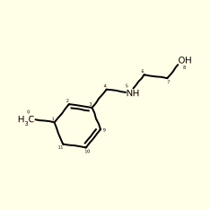 CC1C=C(CNCCO)C=CC1